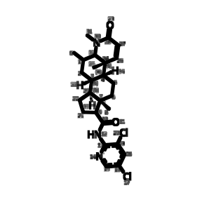 CC1C[C@@H]2[C@@H](CC[C@]3(C)C(C(=O)Nc4ncc(Cl)cc4Cl)CC[C@@H]23)[C@@]2(C)C=CC(=O)N(C)C12